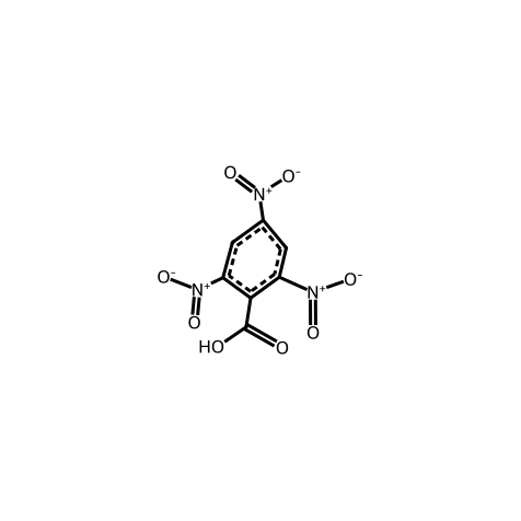 O=C(O)c1c([N+](=O)[O-])cc([N+](=O)[O-])cc1[N+](=O)[O-]